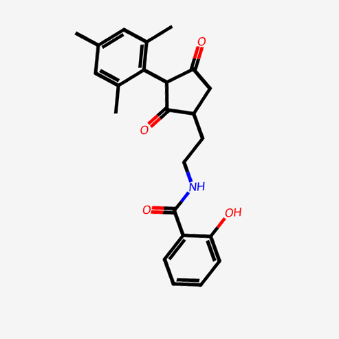 Cc1cc(C)c(C2C(=O)CC(CCNC(=O)c3ccccc3O)C2=O)c(C)c1